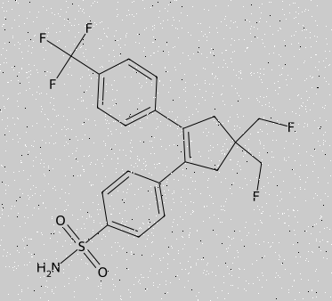 NS(=O)(=O)c1ccc(C2=C(c3ccc(C(F)(F)F)cc3)CC(CF)(CF)C2)cc1